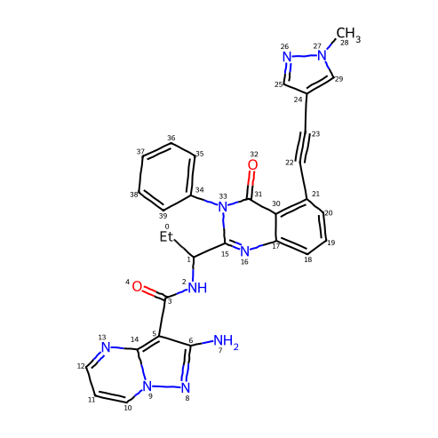 CCC(NC(=O)c1c(N)nn2cccnc12)c1nc2cccc(C#Cc3cnn(C)c3)c2c(=O)n1-c1ccccc1